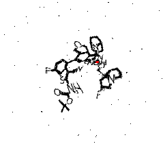 CC(C)(C)OC(=O)Nc1sc2c(F)ccc(-c3cc4nc(OC[C@@]56CCCN5C[C@H](F)C6)nc(N5C6CCC5CN(C(=O)O)C6)c4c4c3COC4)c2c1C#N